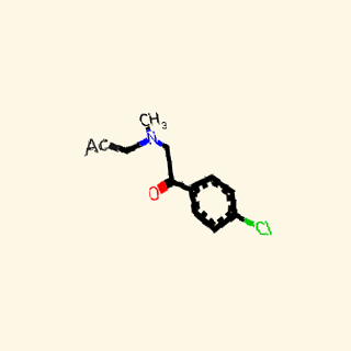 CC(=O)CN(C)CC(=O)c1ccc(Cl)cc1